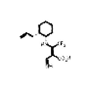 C=CC[C@@H]1CCCC[C@@H]1N/C(=C(\C=N)C(=O)O)C(F)(F)F